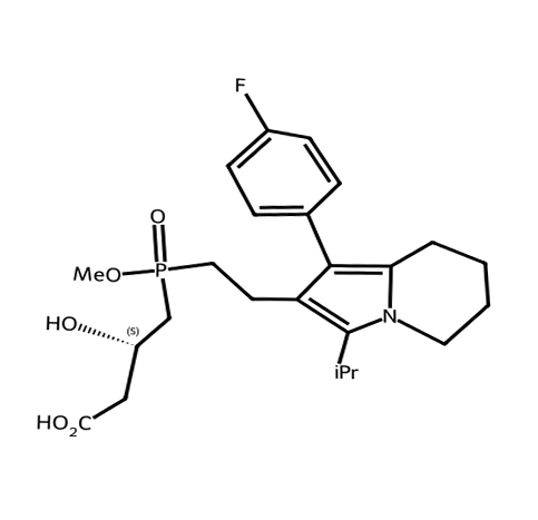 COP(=O)(CCc1c(-c2ccc(F)cc2)c2n(c1C(C)C)CCCC2)C[C@@H](O)CC(=O)O